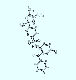 C[C@H]1OC(C)(c2ccc(S(=O)(=O)Nc3ccc(Cl)cc3C(=O)c3ccncc3)cc2)O[C@@H]1C